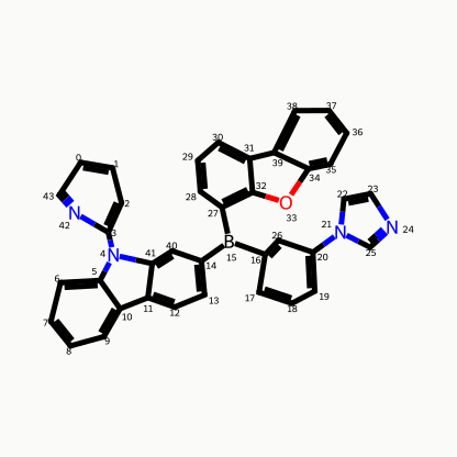 c1ccc(-n2c3ccccc3c3ccc(B(c4cccc(-n5ccnc5)c4)c4cccc5c4oc4ccccc45)cc32)nc1